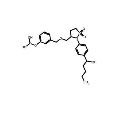 CCCCC(O)c1ccc(N2C(COCc3cccc(OP(O)O)c3)CCS2(=O)=O)cc1